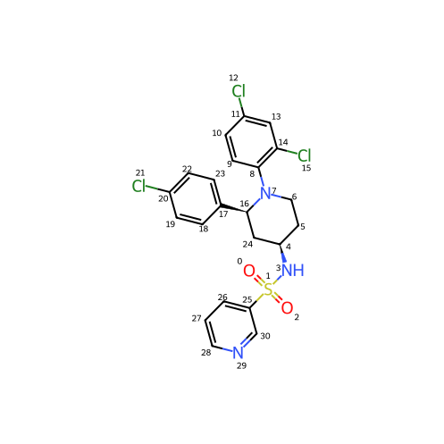 O=S(=O)(N[C@@H]1CCN(c2ccc(Cl)cc2Cl)[C@H](c2ccc(Cl)cc2)C1)c1cccnc1